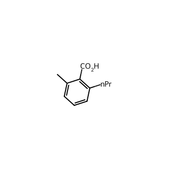 CCCc1cccc(C)c1C(=O)O